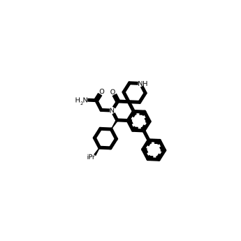 CC(C)[C@H]1CC[C@@H](C2c3cc(-c4ccccc4)ccc3C3(CCNCC3)C(=O)N2CC(N)=O)CC1